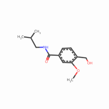 COc1cc(C(=O)NCC(C)C)ccc1CO